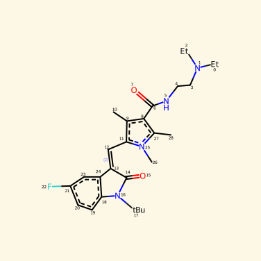 CCN(CC)CCNC(=O)c1c(C)c(/C=C2\C(=O)N(C(C)(C)C)c3ccc(F)cc32)n(C)c1C